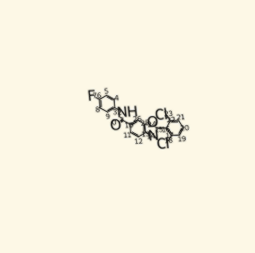 O=C(Nc1ccc(F)cc1)c1ccc2nc(-c3c(Cl)cccc3Cl)oc2c1